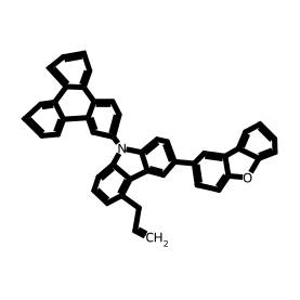 C=CCc1cccc2c1c1cc(-c3ccc4oc5ccccc5c4c3)ccc1n2-c1ccc2c3ccccc3c3ccccc3c2c1